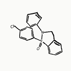 O=P1(c2ccc(Cl)cc2)c2ccccc2CN1c1ccccc1